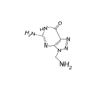 NCn1nnc2c(=O)[nH]c(N)nc21